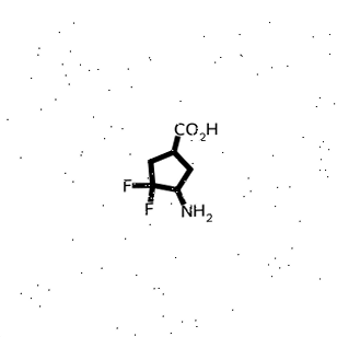 NC1CC(C(=O)O)CC1(F)F